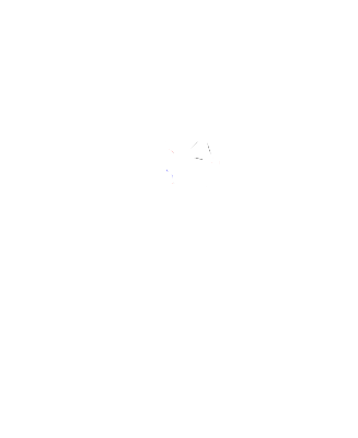 CCCCCCCCCCCCCC1CC(=O)NCC(=O)c2ccc(cc2)OCCO1